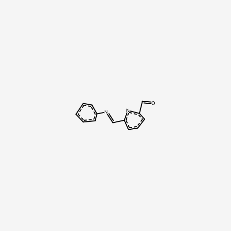 O=Cc1cccc(C=Nc2ccccc2)n1